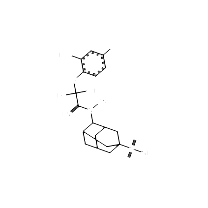 Cc1ccc(OC(C)(C)C(=N)N(C#N)C2C3CC4CC2CC(S(N)(=O)=O)(C4)C3)c(C)c1